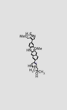 COCc1c(-c2ccc(Nc3cc4cc(/C(C=N)=C/NCC(C)(C)O)ccc4cn3)c(OC)c2)cnn1C